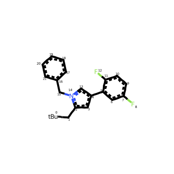 CC(C)(C)Cc1cc(-c2cc(F)ccc2F)cn1Cc1ccccc1